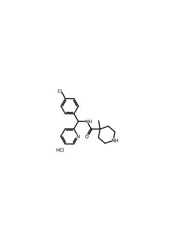 CC1(C(=O)NC(c2ccc(Cl)cc2)c2ccccn2)CCNCC1.Cl